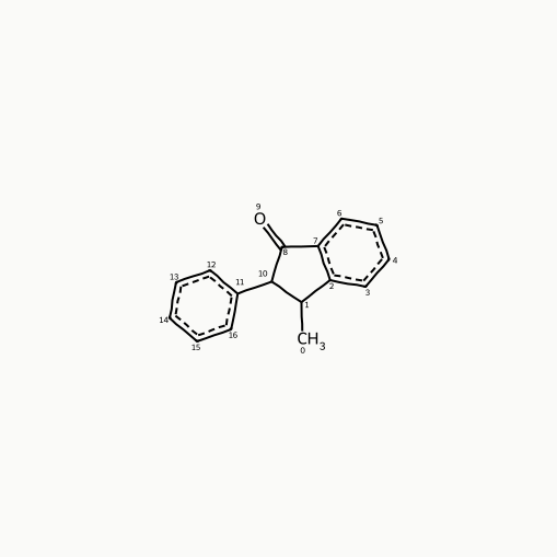 CC1c2ccccc2C(=O)C1c1ccccc1